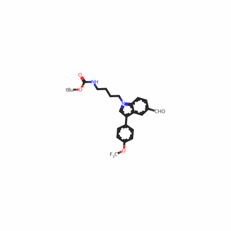 CC(C)(C)OC(=O)NCCCCn1cc(-c2ccc(OC(F)(F)F)cc2)c2cc(C=O)ccc21